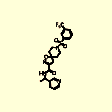 CC(NC(=O)C1=NOC2(CCN(S(=O)(=O)c3cccc(C(F)(F)F)c3)CC2)C1)c1cccnc1